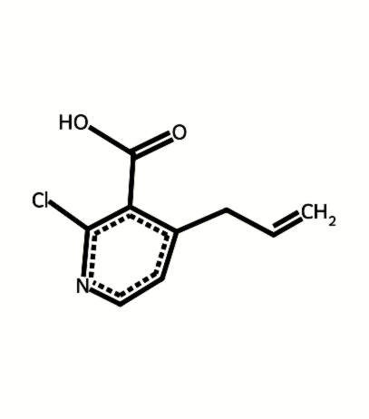 C=CCc1ccnc(Cl)c1C(=O)O